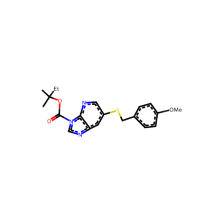 CCC(C)(C)OC(=O)n1cnc2cc(SCc3ccc(OC)cc3)cnc21